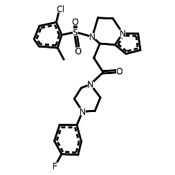 Cc1cccc(Cl)c1S(=O)(=O)N1CCn2cccc2C1CC(=O)N1CCN(c2ccc(F)cc2)CC1